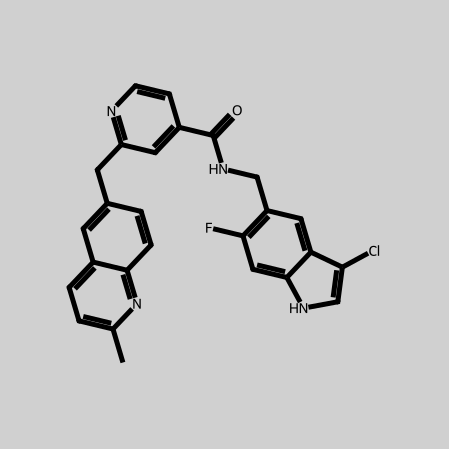 Cc1ccc2cc(Cc3cc(C(=O)NCc4cc5c(Cl)c[nH]c5cc4F)ccn3)ccc2n1